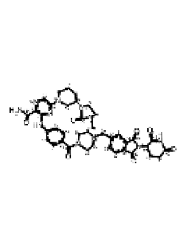 CN1CCN([C@H]2CCCN(c3cnc(C(N)=O)c(Nc4ccc(C(=O)N5CCN(Cc6ccc7c(c6)C(=O)N(C6CCC(=O)NC6=O)C7=O)CC5)cc4)n3)C2)C1=O